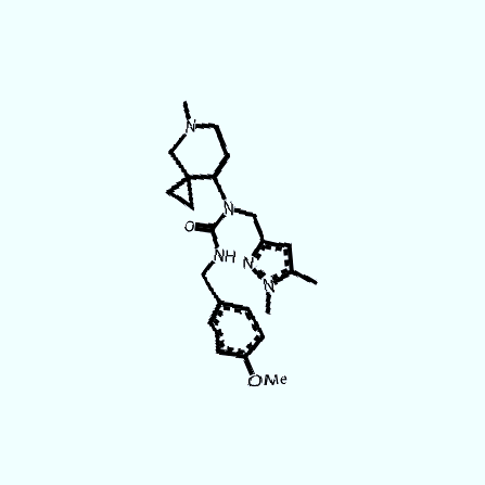 COc1ccc(CNC(=O)N(Cc2cc(C)n(C)n2)C2CCN(C)CC23CC3)cc1